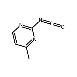 Cc1ccnc(N=C=O)n1